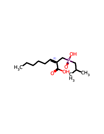 CCCCC/C=C(/CP(=O)(O)CC(C)C)C(=O)O